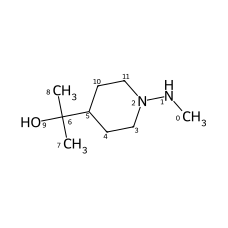 CNN1CCC(C(C)(C)O)CC1